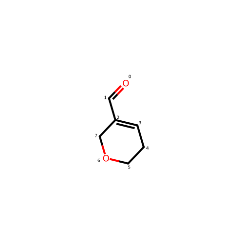 O=CC1=CCCOC1